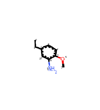 CCc1ccc(OC)c(N)c1